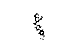 CCCCC(CN(O)C=O)C(=O)N1CCN(c2ccc(OC)cc2)CC1